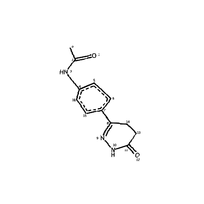 CC(=O)Nc1ccc(C2=NNC(=O)CC2)cc1